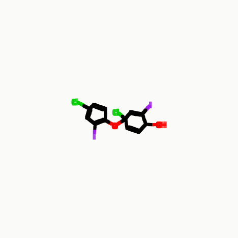 OC1C=CC(Cl)(Oc2ccc(Cl)cc2I)C=C1I